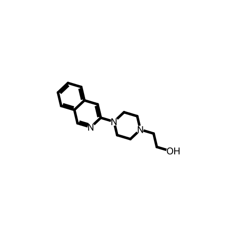 OCCN1CCN(c2cc3ccccc3cn2)CC1